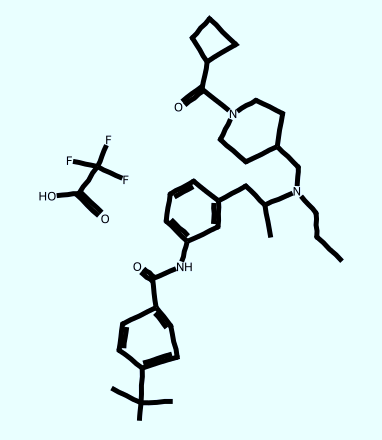 CCCN(CC1CCN(C(=O)C2CCC2)CC1)C(C)Cc1cccc(NC(=O)c2ccc(C(C)(C)C)cc2)c1.O=C(O)C(F)(F)F